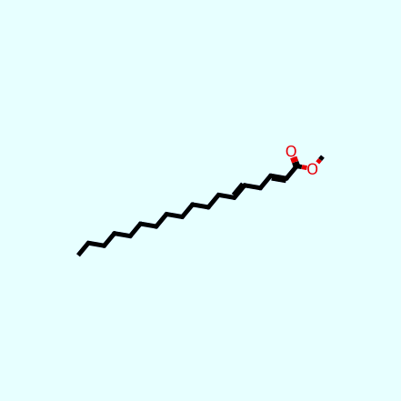 CCCCCCCCCCCCC=CCC=CC(=O)OC